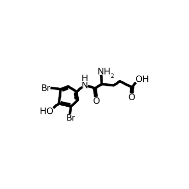 NC(CCC(=O)O)C(=O)Nc1cc(Br)c(O)c(Br)c1